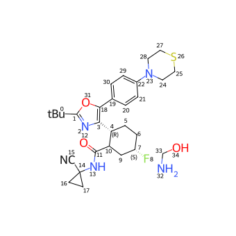 CC(C)(C)c1nc([C@@H]2CC[C@H](F)CC2C(=O)NC2(C#N)CC2)c(-c2ccc(N3CCSCC3)cc2)o1.NCO